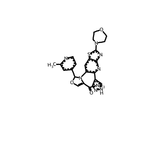 Cc1cc(C2OC=C(C(N)=O)N2c2cc3sc(N4CCOCC4)nc3nc2-c2cn[nH]c2)ccn1